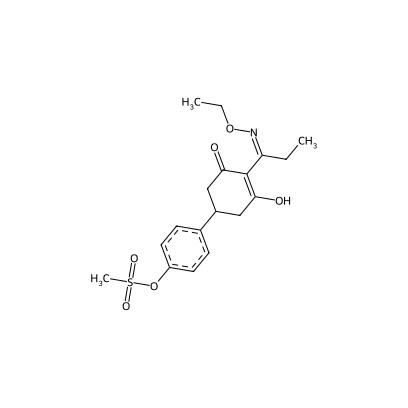 CCO/N=C(/CC)C1=C(O)CC(c2ccc(OS(C)(=O)=O)cc2)CC1=O